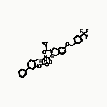 O=C(O)[C@H](Cc1ccc(-c2ccccc2)cc1)NC(=O)[C@@H]1Cc2ccc(OCc3ccc(C(F)(F)F)cc3)cc2CN1C(=O)C1CC1